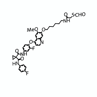 COc1cc2c(Oc3ccc(NC(=O)C4(C(=O)Nc5ccc(F)cc5)CC4)cc3F)ccnc2cc1OCCCCCCNC(=O)CSC=O